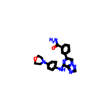 NC(=O)c1cccc(-c2cn3ncnc3c(Nc3ccc(N4CCOCC4)cc3)n2)c1